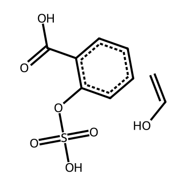 C=CO.O=C(O)c1ccccc1OS(=O)(=O)O